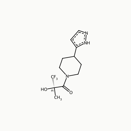 C[C@@](O)(C(=O)N1CCC(c2ccn[nH]2)CC1)C(F)(F)F